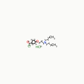 CCCCN(CCCC)CCCOc1ccc(C(=O)Cl)cc1.Cl